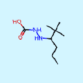 CCCC(NNC(=O)O)C(C)(C)C